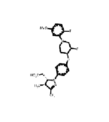 COc1ccc(F)c(N2CCC(Oc3ccc(N4N=C(C(F)(F)F)[C@@H](C)[C@@H]4CC(=O)O)cc3)C(F)C2)c1